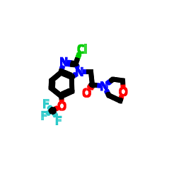 O=C(Cn1c(Cl)nc2ccc(OC(F)(F)F)cc21)N1CCOCC1